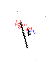 CC(C)C[C@H](N)C(=O)O.CCCCCCCCCCCCCC=CC(=O)C(O)C(O)CO